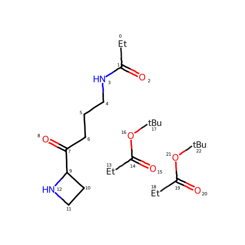 CCC(=O)NCCCC(=O)C1CCN1.CCC(=O)OC(C)(C)C.CCC(=O)OC(C)(C)C